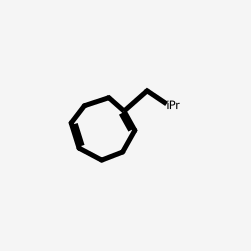 CC(C)CC1=CCCC=CCC1